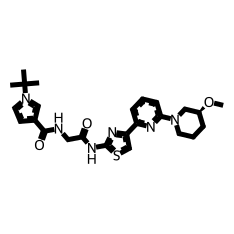 CO[C@H]1CCCN(c2cccc(-c3csc(NC(=O)CNC(=O)c4ccn(C(C)(C)C)c4)n3)n2)C1